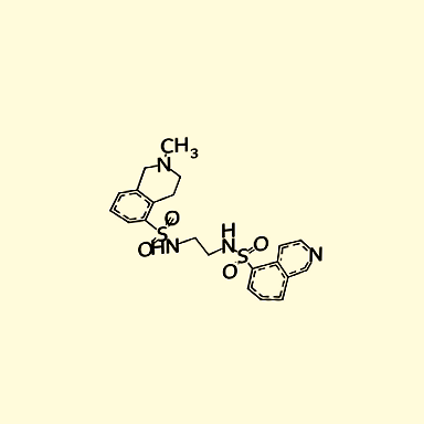 CN1CCc2c(cccc2S(=O)(=O)NCCNS(=O)(=O)c2cccc3cnccc23)C1